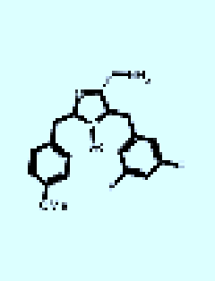 COc1ccc(CC2O[C@H](CN)C(Cc3cc(F)cc(F)c3)N2C(C)=O)cc1